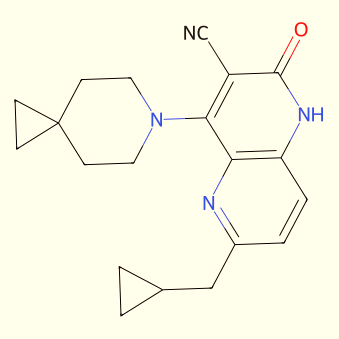 N#Cc1c(N2CCC3(CC2)CC3)c2nc(CC3CC3)ccc2[nH]c1=O